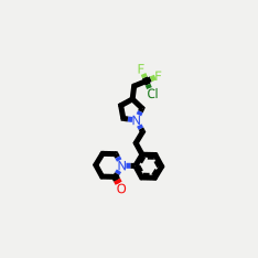 O=C1CCCCN1c1ccccc1CCN1CCC(CC(F)(F)Cl)C1